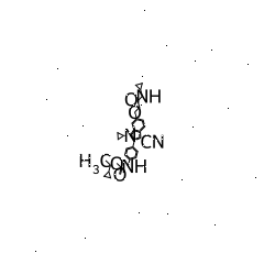 CC(OC(=O)Nc1ccc(-c2c(C#N)c3ccc(OCC(=O)NC4CC4)cc3n2C2CC2)cc1)C1CC1